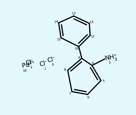 [Cl-].[Cl-].[Cl-].[NH3+]c1ccccc1-c1ccccc1.[Pd+2]